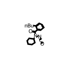 CCCCc1ccccc1C(=O)N(N=C=O)C1CCCCC1